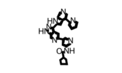 O=C(Nc1cncc(-c2cc3c(-c4cc5c(-c6ccccn6)cncc5[nH]4)n[nH]c3cn2)c1)C1CCCC1